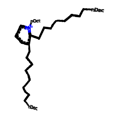 CCCCCCCCCCCCCCCCCCc1ccc[n+](CCCCCCCC)c1CCCCCCCCCCCCCCCCCC